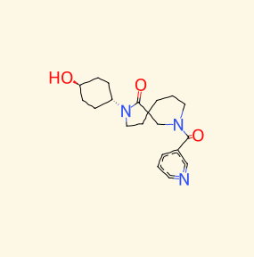 O=C(c1cccnc1)N1CCCC2(CCN([C@H]3CC[C@H](O)CC3)C2=O)C1